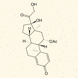 CC(=O)O[C@H]1C[C@@]2(C)[C@@H](CC[C@]2(O)C(=O)CO)[C@@H]2CCC3=CC(=O)C=C[C@]3(C)[C@H]21